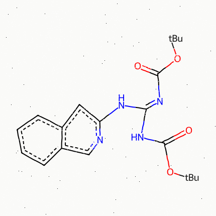 CC(C)(C)OC(=O)/N=C(/NC(=O)OC(C)(C)C)Nc1cc2ccccc2cn1